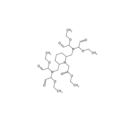 CCOC(=O)CN1C(CN(C(C=O)OCC)C(C=O)OCC)CCCC1CN(C(C=O)OCC)C(C=O)OCC